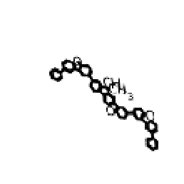 CC1(C)c2cc(-c3ccc4oc5ccc(-c6ccccc6)cc5c4c3)ccc2-c2cc3oc4c(c3cc21)C=C(c1ccc2oc3ccc(-c5ccccc5)cc3c2c1)CC4